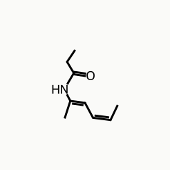 C/C=C\C=C(/C)NC(=O)CC